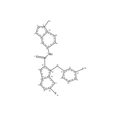 Cn1ccc2cc(NC(=O)c3cc4ccc(F)cc4n3Cc3cccc(F)c3)ccc21